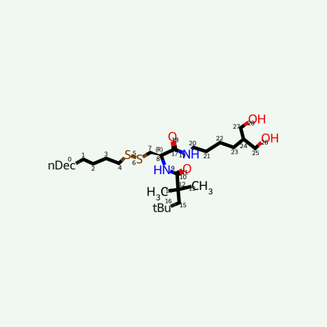 CCCCCCCCCCCCCCSSC[C@H](NC(=O)C(C)(C)CC(C)(C)C)C(=O)NCCCCC(CO)CO